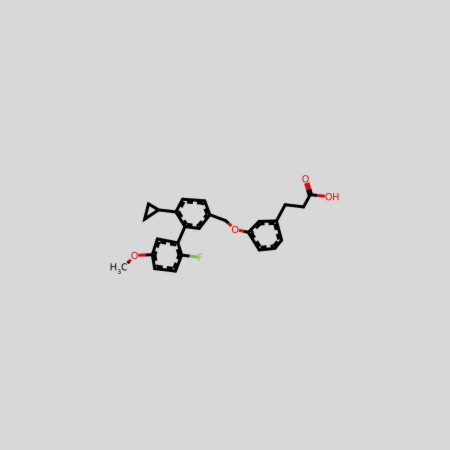 COc1ccc(F)c(-c2cc(COc3cccc(CCC(=O)O)c3)ccc2C2CC2)c1